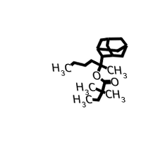 CCCCC(C)(OC(=O)C(C)(C)CC)C1C2CC3CC(C2)CC1C3